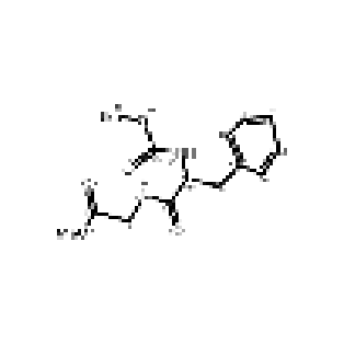 COC(=O)CNC(=O)[C@H](Cc1ccccc1)NC(=O)OC(C)(C)C